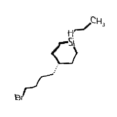 CCC[Si@H]1CC[C@H](CCCCBr)CC1